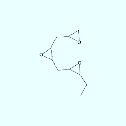 CCC1OC1CC1OC1CC1CO1